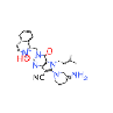 CC(C)=CCn1c(N2CCC[C@H](N)C2)c(C#N)c2ncn(Cc3c4ccccc4cc[n+]3O)c(=O)c21